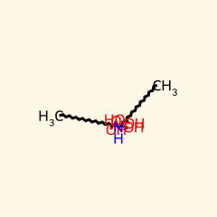 CCCCCCCCCCCCCCCCC(O)C(=O)N[C@H](CO)[C@H](O)C(O)CCCCCCCCCCCCCC